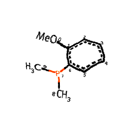 COc1ccccc1P(C)C